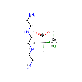 NCCNCCNCCN.O=C([O-])C(F)(F)F.[Cl][Co+][Cl]